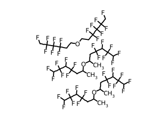 CC(CC(F)(F)C(F)C(F)(F)C(F)F)OC(C)CC(F)(F)C(F)C(F)(F)C(F)F.CC(CC(F)(F)C(F)C(F)(F)C(F)F)OC(C)CC(F)(F)C(F)C(F)(F)C(F)F.FCC(F)(F)C(F)(F)C(F)(F)CCOCCC(F)(F)C(F)(F)C(F)(F)CF